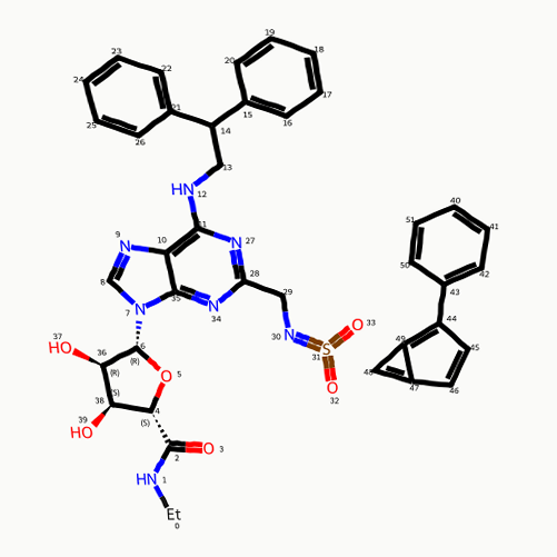 CCNC(=O)[C@H]1O[C@@H](n2cnc3c(NCC(c4ccccc4)c4ccccc4)nc(CN=S(=O)=O)nc32)[C@H](O)[C@@H]1O.c1ccc(-c2ccc3cc2-3)cc1